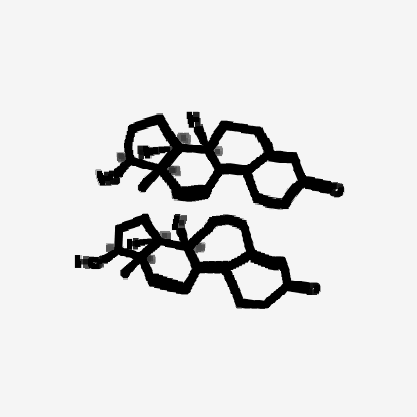 C[C@]12C=CC3=C4CCC(=O)C=C4CC[C@H]3[C@@H]1CC[C@@H]2O.C[C@]12C=CC3=C4CCC(=O)C=C4CC[C@H]3[C@@H]1CC[C@@H]2O